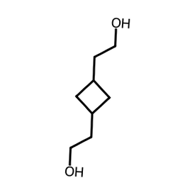 OCCC1CC(CCO)C1